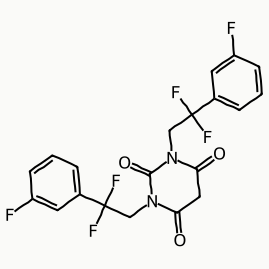 O=C1CC(=O)N(CC(F)(F)c2cccc(F)c2)C(=O)N1CC(F)(F)c1cccc(F)c1